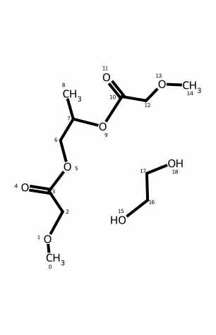 COCC(=O)OCC(C)OC(=O)COC.OCCO